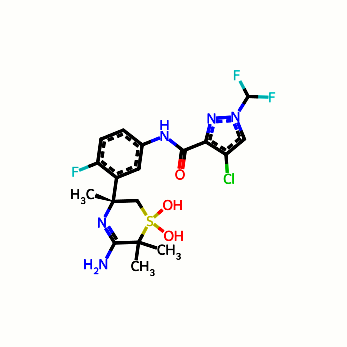 CC1(C)C(N)=N[C@](C)(c2cc(NC(=O)c3nn(C(F)F)cc3Cl)ccc2F)CS1(O)O